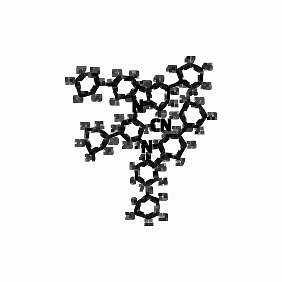 N#Cc1c(-n2c3ccc(-c4ccccc4)cc3c3ccc(-c4ccccc4)cc32)cc(-c2ccccc2)cc1-n1c2ccc(-c3ccccc3)cc2c2ccc(-c3ccccc3)cc21